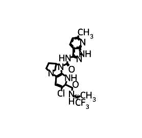 Cc1ccc2c(NC(=O)N3C4=C(C=C(Cl)C(C(=O)N[C@H](C)C(F)(F)F)N4)N4CCC3C4)n[nH]c2n1